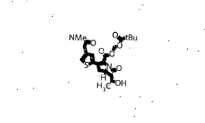 CNC(=O)Cc1csc(C2=C(C(=O)OCOC(=O)C(C)(C)C)N3C(=O)[C@H]([C@@H](C)O)[C@H]3C2)c1